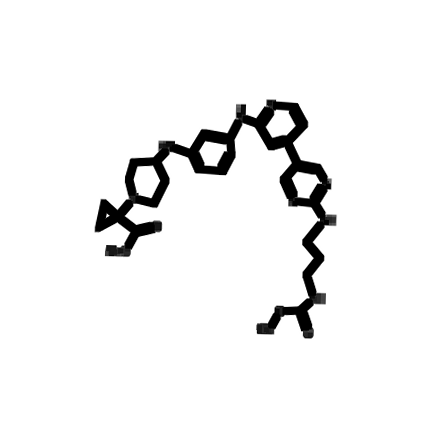 COC(=O)C1(N2CCC(Nc3cccc(Nc4cc(-c5cnc(NCCCNC(=O)OC(C)(C)C)nc5)ccn4)c3)CC2)CC1